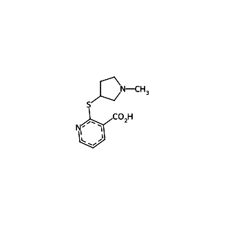 CN1CCC(Sc2ncccc2C(=O)O)C1